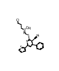 N#Cc1c(-c2ccccc2)cc(-c2cccs2)nc1SC[SiH](O)CCCCl